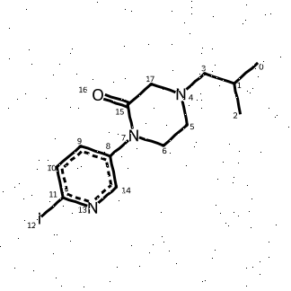 CC(C)CN1CCN(c2ccc(I)nc2)C(=O)C1